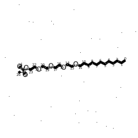 CCCCCCCCCCCCOCCOCCOCCOCCOS(C)(=O)=O